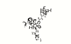 C=C(F)C(=O)OC(OCCCCC(F)(F)C(F)(F)S)(C(=O)NCCC(F)(F)F)C(F)(F)F